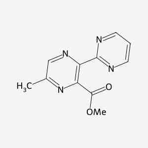 COC(=O)c1nc(C)cnc1-c1ncccn1